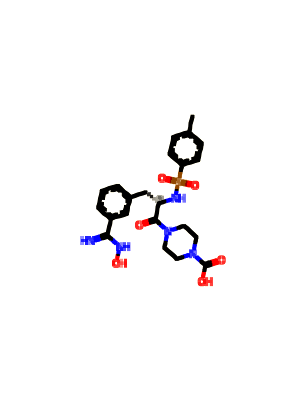 Cc1ccc(S(=O)(=O)N[C@@H](Cc2cccc(C(=N)NO)c2)C(=O)N2CCN(C(=O)O)CC2)cc1